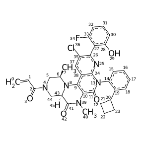 C=CC(=O)N1C[C@@H](C)N2c3c(c(=O)n(-c4ccccc4C4CCC4)c4nc(-c5c(O)cccc5F)c(Cl)cc34)N(C)C(=O)[C@H]2C1